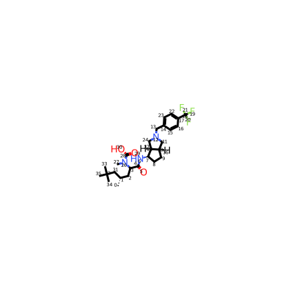 C[C@@H](CC(C(=O)N[C@@H]1CC[C@H]2CN(Cc3ccc(C(F)(F)F)cc3)C[C@H]21)N(C)C(=O)O)CC(C)(C)C